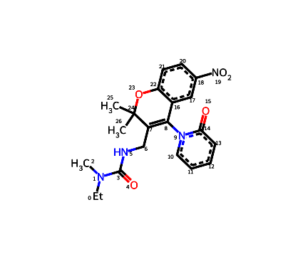 CCN(C)C(=O)NCC1=C(n2ccccc2=O)c2cc([N+](=O)[O-])ccc2OC1(C)C